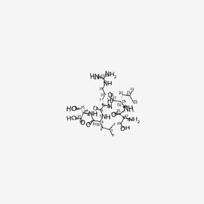 CC(C)C[C@H](NC(=O)[C@H](CCCNC(=N)N)NC(=O)[C@H](CC(C)C)NC(=O)[C@@H](N)CO)C(=O)N[C@@H](CO)C(=O)O